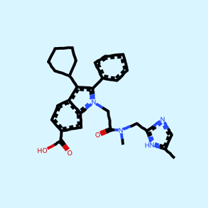 Cc1cnc(CN(C)C(=O)Cn2c(-c3ccccc3)c(C3CCCCC3)c3ccc(C(=O)O)cc32)[nH]1